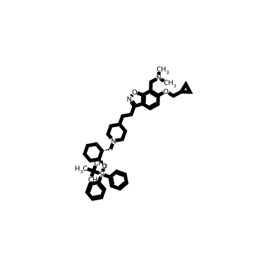 CN(C)Cc1c(OCC2CC2)ccc2c(CCC3CCN(C[C@H]4CCCC[C@@H]4O[Si](c4ccccc4)(c4ccccc4)C(C)(C)C)CC3)noc12